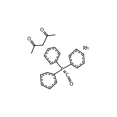 CC(=O)CC(C)=O.O=C=P(c1ccccc1)(c1ccccc1)c1ccccc1.[Rh]